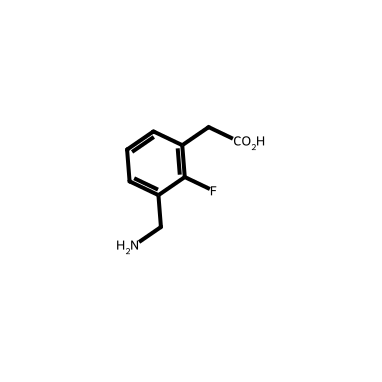 NCc1cccc(CC(=O)O)c1F